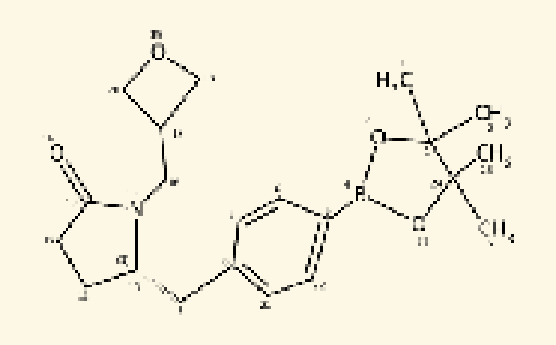 CC1(C)OB(c2ccc(C[C@@H]3CCC(=O)N3CC3COC3)cc2)OC1(C)C